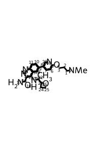 CNCCCOc1ccc(-c2ccc3nnc(C(N)=O)c(N[C@@H](C)C4CCO4)c3c2)cn1